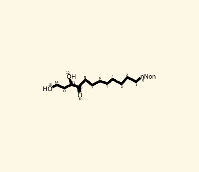 CCCCCCCCCCCCCCCCCC(=O)C(O)CCO